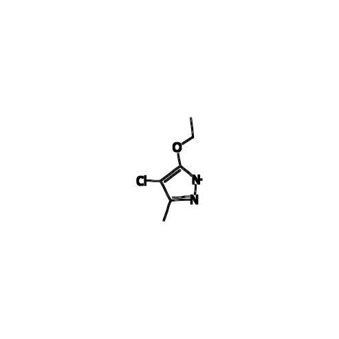 CCOC1=C(Cl)C(C)=N[N]1